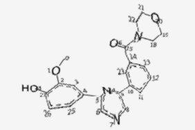 COc1cc(-c2cncc(-c3cccc(C(=O)N4CCOCC4)c3)n2)ccc1O